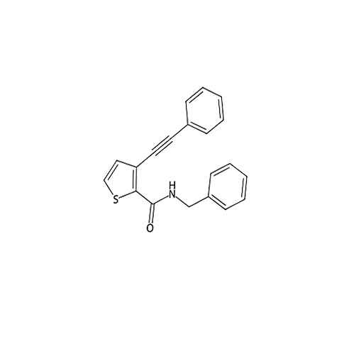 O=C(NCc1ccccc1)c1sccc1C#Cc1ccccc1